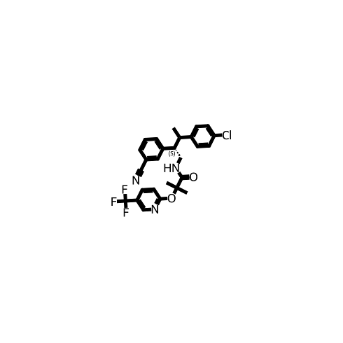 CC(c1ccc(Cl)cc1)[C@H](CNC(=O)C(C)(C)Oc1ccc(C(F)(F)F)cn1)c1cccc(C#N)c1